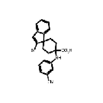 N#Cc1cccc(NC2(C(=O)O)CCC3(CC2)C(Br)=Cc2ccccc23)c1